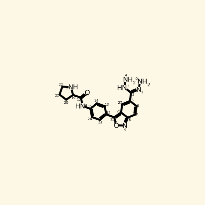 N/N=C(\NN)c1ccc2noc(-c3ccc(NC(=O)C4CCCN4)cc3)c2c1